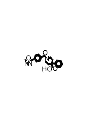 O=C(c1ccc(-c2nnco2)cc1)N1CCC(C(=O)O)(c2ccccc2)CC1